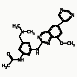 COc1cc(-c2cncnc2)cc2cnc(Nc3cc(CN(C)C)cc(NC(C)=O)c3)nc12